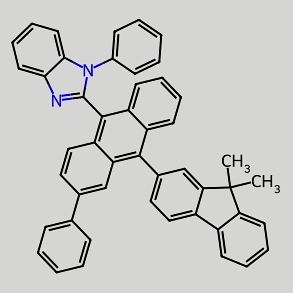 CC1(C)c2ccccc2-c2ccc(-c3c4ccccc4c(-c4nc5ccccc5n4-c4ccccc4)c4ccc(-c5ccccc5)cc34)cc21